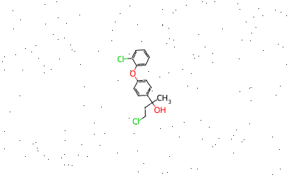 CC(O)(CCCl)c1ccc(Oc2ccccc2Cl)cc1